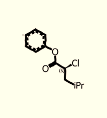 CC(C)C[C@H](Cl)C(=O)Oc1cc[c]cc1